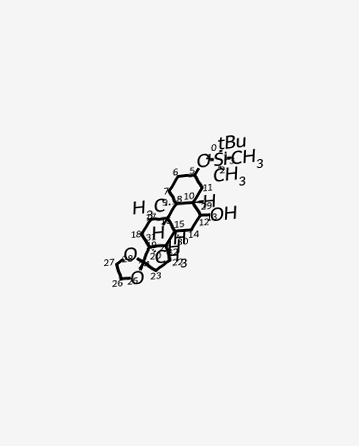 CC(C)(C)[Si](C)(C)OC1CC[C@@]2(C)[C@H](C1)C(O)C[C@@H]1[C@@H]2CC[C@@]2(C)[C@H]1CCC21OCCO1